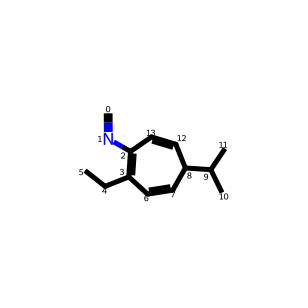 C=NC1=C(CC)C=CC(C(C)C)C=C1